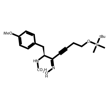 COc1ccc(C[C@H](NC(=O)O)/C(C#CCCO[Si](C)(C)C(C)(C)C)=N\O)cc1